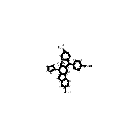 CCCCc1ccc(C(c2ccc(C(C)(C)C)cc2)=c2cc3c(c(C4=CC=CC4)c2C(C)(C)C)=[C]c2cc(C(C)(C)C)ccc2-3)cc1